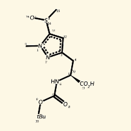 Cn1nc(C[C@H](NC(=O)OC(C)(C)C)C(=O)O)cc1[S+](C)[O-]